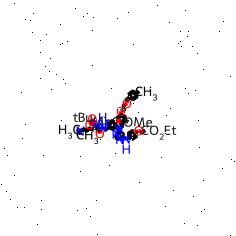 CCOC(=O)COc1ccc(Nc2cc(N(Cc3c(OC)cc(OCCOCc4ccc(C)cc4)cc3OC)c3cccc(CNC(=O)[C@H](CCCCN(C)C)NC(=O)OC(C)(C)C)c3)ncn2)cc1